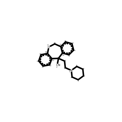 N#CC1(CCN2CCCCC2)c2ccccc2COc2ccccc21